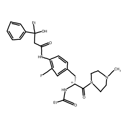 CCC(=O)N[C@H](Cc1ccc(NC(=O)CC(O)(CC)c2ccccc2)c(F)c1)C(=O)N1CCN(C)CC1